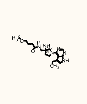 CCc1c[nH]c2ncnc(N3CC[C@](N)(CNC(=O)CCCOC)C3)c12